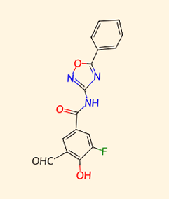 O=Cc1cc(C(=O)Nc2noc(-c3ccccc3)n2)cc(F)c1O